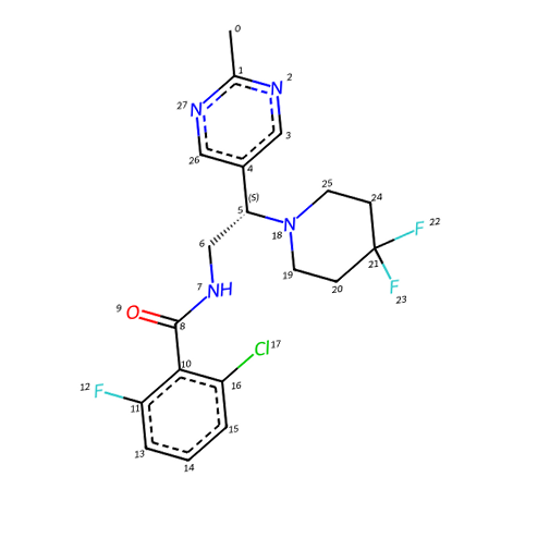 Cc1ncc([C@@H](CNC(=O)c2c(F)cccc2Cl)N2CCC(F)(F)CC2)cn1